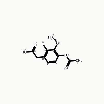 COc1c(OC(C)=O)ccc(CC(=O)O)c1I